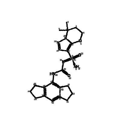 CC1(C)CCOc2c([S@](N)(=O)=NC(=O)Nc3c4c(cc5c3CCC5)CCC4)cnn21